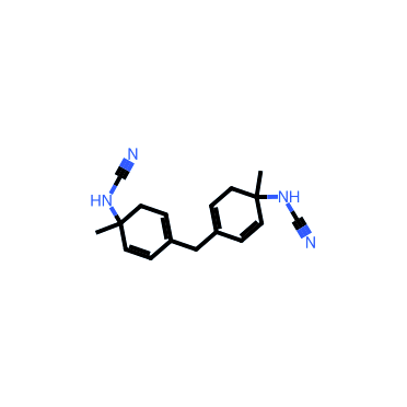 CC1(NC#N)C=CC(CC2=CCC(C)(NC#N)C=C2)=CC1